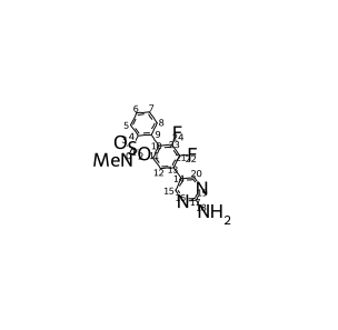 CNS(=O)(=O)c1ccccc1-c1ccc(-c2cnc(N)nc2)c(F)c1F